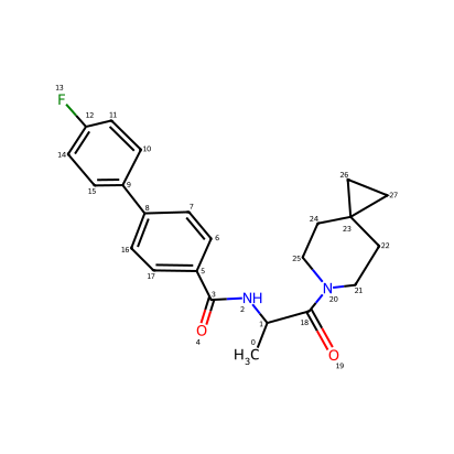 CC(NC(=O)c1ccc(-c2ccc(F)cc2)cc1)C(=O)N1CCC2(CC1)CC2